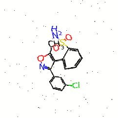 Cc1onc(-c2cccc(Cl)c2)c1-c1ccccc1S(N)(=O)=O